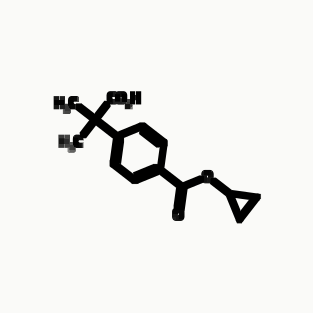 CC(C)(C(=O)O)c1ccc(C(=O)OC2CC2)cc1